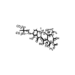 CCOC(=O)C(C)(/N=N/c1ccc2c(c1O)C(=O)C1=C(O)[C@]3(O)C(=O)C(C(N)=O)=C(O)[C@@H](N(C)C)[C@@H]3[C@@H](O)[C@@H]1[C@H]2C)C(=O)OCC